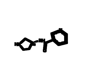 O=C(N[C@@H]1CCNC1)c1cccnc1